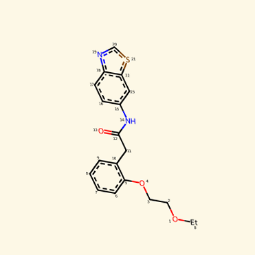 CCOCCOc1ccccc1CC(=O)Nc1ccc2ncsc2c1